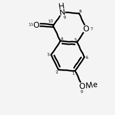 COc1ccc2c(c1)OCNC2=O